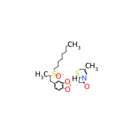 CC1=CN2C(=O)C[C@H]2SC1.CCCCCCCC[S+]([O-])C(C)Cc1ccc2c(c1)OCO2